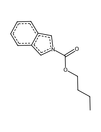 CCCCOC(=O)n1cc2ccccc2c1